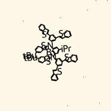 CC(C)c1cc2c3c(c1)N(c1cc(-c4cc5ccccc5s4)cc(-c4cc5ccccc5s4)c1)c1sc4ccc(C(C)(C)C)cc4c1B3c1c(sc3ccc(C(C)(C)C)cc13)N2c1cc(-c2cc3ccccc3s2)cc(-c2cc3ccccc3s2)c1